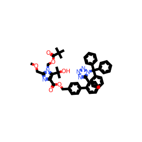 COCc1nc(C(=O)OCc2ccc(-c3ccccc3-c3nnnn3C(c3ccccc3)(c3ccccc3)c3ccccc3)cc2)c(C(C)(C)O)n1COC(=O)C(C)(C)C